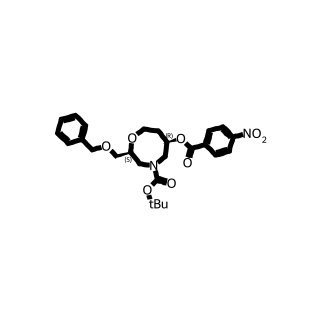 CC(C)(C)OC(=O)N1C[C@@H](COCc2ccccc2)OCC[C@@H](OC(=O)c2ccc([N+](=O)[O-])cc2)C1